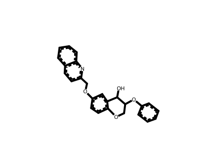 OC1c2cc(OCc3ccc4ccccc4n3)ccc2OCC1Oc1ccccc1